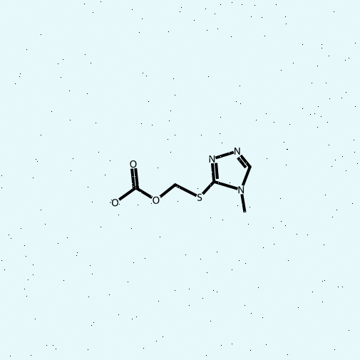 Cn1cnnc1SCOC([O])=O